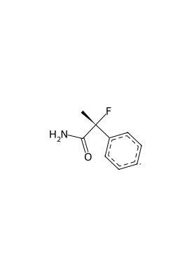 C[C@](F)(C(N)=O)c1cc[c]cc1